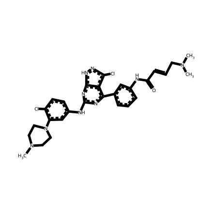 CN(C)C/C=C/C(=O)Nc1cccc(-c2nc(Nc3ccc(Cl)c(N4CCN(C)CC4)c3)nc3[nH]nc(Cl)c23)c1